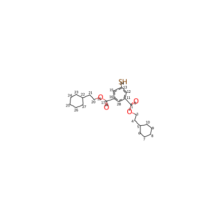 O=C(OCCC1CCCCC1)c1cc(S)cc(C(=O)OCCC2CCCCC2)c1